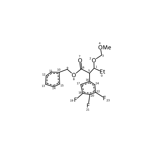 CCC(OCOC)C(C(=O)OCc1ccccc1)c1cc(F)c(F)c(F)c1